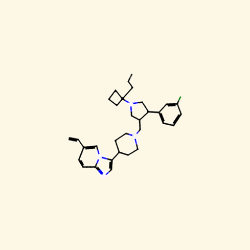 C=Cc1ccc2ncc(C3CCN(CC4CN(C5(CCC(=O)O)CCC5)CC4c4cccc(F)c4)CC3)n2c1